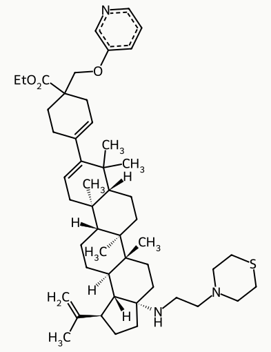 C=C(C)[C@@H]1CC[C@]2(NCCN3CCSCC3)CC[C@]3(C)[C@H](CC[C@@H]4[C@@]5(C)CC=C(C6=CCC(COc7cccnc7)(C(=O)OCC)CC6)C(C)(C)[C@@H]5CC[C@]43C)[C@@H]12